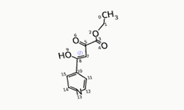 CCOC(=O)C(=O)/C=C(\O)c1ccncc1